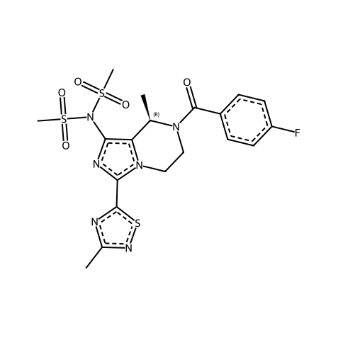 Cc1nsc(-c2nc(N(S(C)(=O)=O)S(C)(=O)=O)c3n2CCN(C(=O)c2ccc(F)cc2)[C@@H]3C)n1